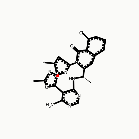 Cc1nnc(-c2c(N)ncnc2N[C@@H](C)c2cc3cccc(Cl)c3c(=O)n2-c2cc(F)[nH]n2)o1